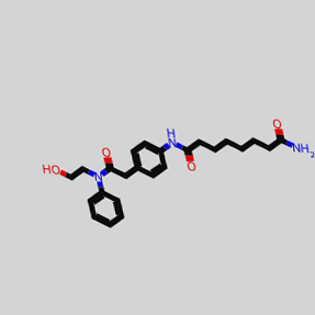 NC(=O)CCCCCCC(=O)Nc1ccc(CC(=O)N(CCO)c2ccccc2)cc1